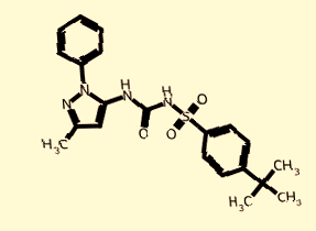 Cc1cc(NC(=O)NS(=O)(=O)c2ccc(C(C)(C)C)cc2)n(-c2ccccc2)n1